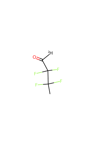 [2H]C(=O)C(F)(F)C(C)(F)F